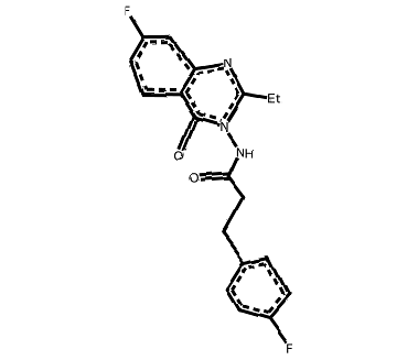 CCc1nc2cc(F)ccc2c(=O)n1NC(=O)CCc1ccc(F)cc1